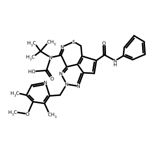 COc1c(C)cnc(Cn2nc3cc(C(=O)Nc4ccccc4)c4c-3c(n2)C(N(C(=O)O)C(C)(C)C)=NSC4)c1C